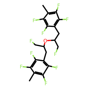 Cc1c(F)c(F)c(CC(CF)OC(CF)Cc2c(F)c(F)c(C)c(F)c2F)c(F)c1F